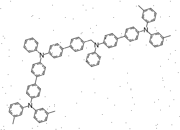 Cc1cccc(N(c2ccc(-c3ccc(N(Cc4ccc(-c5ccc(N(c6ccccc6)c6ccc(-c7ccc(N(c8cccc(C)c8)c8cccc(C)c8)cc7)cc6)cc5)cc4)c4ccccc4)cc3)cc2)c2cccc(C)c2)c1